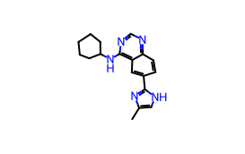 Cc1c[nH]c(-c2ccc3ncnc(NC4CCCCC4)c3c2)n1